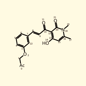 CC(=O)COc1cccc(C=CC(=O)c2c(O)cc(C)n(C)c2=O)c1